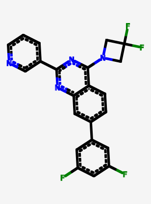 Fc1cc(F)cc(-c2ccc3c(N4CC(F)(F)C4)nc(-c4cccnc4)nc3c2)c1